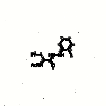 CC(=O)NC(CC(C)C)C(=O)NNc1ccccc1C